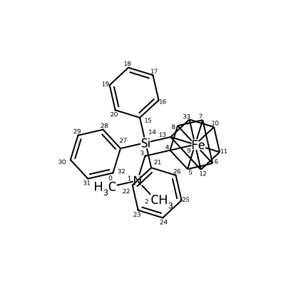 CN(C)C[C]12[CH]3[CH]4[CH]5[CH]1[Fe]45321678[CH]2[CH]1[CH]6[C]7([Si](c1ccccc1)(c1ccccc1)c1ccccc1)[CH]28